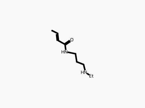 C/C=C/C(=O)NCCCNCC